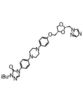 CCC(C)n1ncn(-c2ccc(N3CCN(c4ccc(OC[C@H]5CO[C@@H](Cn6cncn6)O5)cc4)CC3)cc2)c1=O